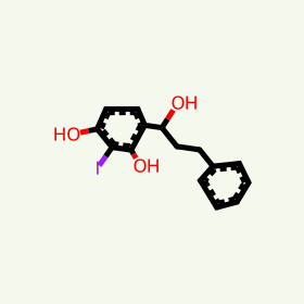 Oc1ccc(C(O)CCc2ccccc2)c(O)c1I